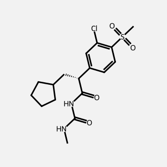 CNC(=O)NC(=O)[C@H](CC1CCCC1)c1ccc(S(C)(=O)=O)c(Cl)c1